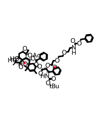 CC(=O)O[C@@]12COC1C[C@H](O)[C@@](C)(C(=O)[C@@H](C)O)[C@@H]2[C@H](OC(=O)c1ccccc1)[C@]1(O)C[C@H](OC(=O)[C@H](OC(=O)COCCOCCNC(=O)OCc2ccccc2)[C@@H](NC(=O)OC(C)(C)C)c2ccccc2)C(C)=CC1(C)C